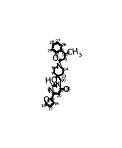 C[C@H](CC(=O)N1CCC(O)(Cn2cnc(-c3ccco3)cc2=O)CC1)c1ccccc1